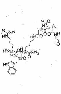 CN[C@@H](CCCNC(=N)N)C(=O)N[C@@H](Cc1c[nH]c2ccccc12)C(=O)N[C@@H](CCCCNC(=O)C[C@@H]1NC(=O)N(C2(C(=O)NCC=O)CC2)C1=O)C(N)=O